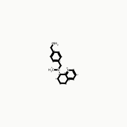 CN(Cc1ccc(CN)cc1)[C@H]1CCCc2cccnc21